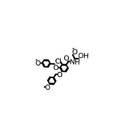 COCC(CO)NC(=O)c1ccc(OCc2ccc(OC)cc2)c(OCc2ccc(OC)cc2)c1Cl